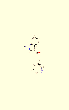 Cn1cc(C(=O)OCC23CCCN(CC2)C3)c2ccccc21